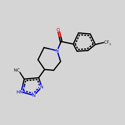 N#Cc1[nH]nnc1C1CCN(C(=O)c2ccc(C(F)(F)F)cc2)CC1